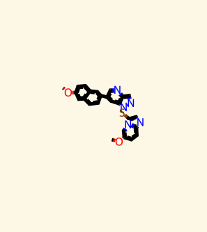 COc1ccc2cc(-c3cnc4cnn(Sc5cnc6ccc(OC)cn56)c4c3)ccc2c1